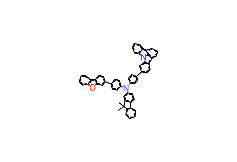 CC1(C)c2ccccc2-c2ccc(N(c3ccc(-c4ccc5c(c4)oc4ccccc45)cc3)c3ccc(-c4ccc5c6cccc7c8ccccc8n(c5c4)c76)cc3)cc21